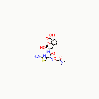 CN(C)C(=O)CO/N=C(\C(=O)N[C@H]1Cc2cccc(C(=O)O)c2OB1O)c1csc(N)n1